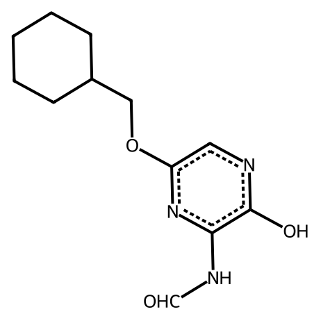 O=CNc1nc(OCC2CCCCC2)cnc1O